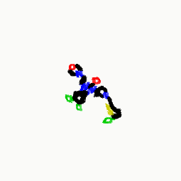 O=c1n(CCN2CCOCC2)c2cc(Cl)c(Cl)cc2n1C1CCN(Cc2ccc(Cl)s2)CC1